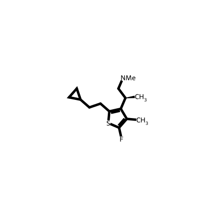 CNC[C@@H](C)c1c(CCC2CC2)sc(F)c1C